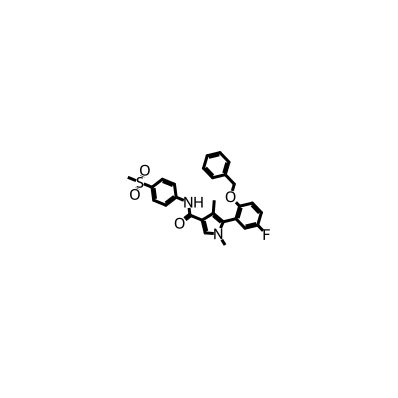 Cc1c(C(=O)Nc2ccc(S(C)(=O)=O)cc2)cn(C)c1-c1cc(F)ccc1OCc1ccccc1